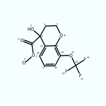 O=C(OCl)C1(O)CCOc2c(OC(F)(F)F)cccc21